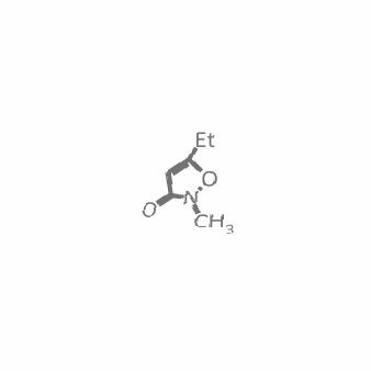 CCc1cc(=O)n(C)o1